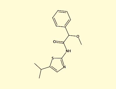 COC(C(=O)Nc1ncc(C(C)C)s1)c1ccccc1